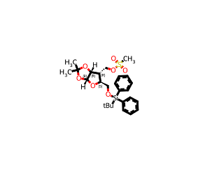 CC1(C)O[C@H]2O[C@H](CO[Si](c3ccccc3)(c3ccccc3)C(C)(C)C)[C@@H](COS(C)(=O)=O)[C@H]2O1